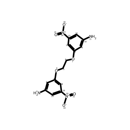 Nc1cc(OCCOc2cc(N)cc([N+](=O)[O-])c2)cc([N+](=O)[O-])c1